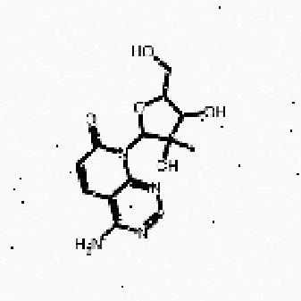 CC1(O)C(O)C(CO)OC1n1c(=O)ccc2c(N)ncnc21